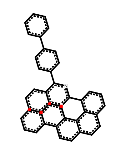 c1ccc(-c2ccc(-c3nc(-c4cccc5ccc6ccc7c8ccccc8ccc7c6c45)nc4ccccc34)cc2)cc1